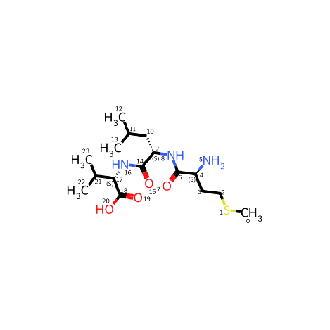 CSCC[C@H](N)C(=O)N[C@@H](CC(C)C)C(=O)N[C@H](C(=O)O)C(C)C